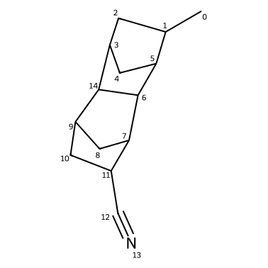 CC1CC2CC1C1C3CC(CC3C#N)C21